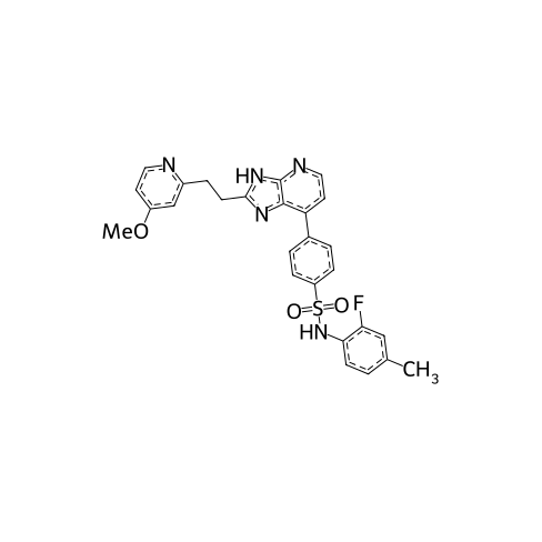 COc1ccnc(CCc2nc3c(-c4ccc(S(=O)(=O)Nc5ccc(C)cc5F)cc4)ccnc3[nH]2)c1